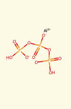 O=P([O-])(O)OP(=O)([O-])OP(=O)([O-])O.[Al+3]